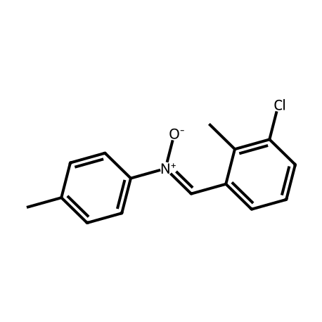 Cc1ccc([N+]([O-])=Cc2cccc(Cl)c2C)cc1